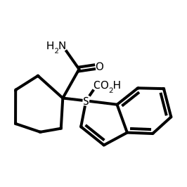 NC(=O)C1(S2(C(=O)O)C=Cc3ccccc32)CCCCC1